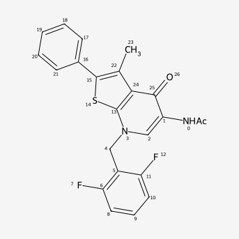 CC(=O)Nc1cn(Cc2c(F)cccc2F)c2sc(-c3ccccc3)c(C)c2c1=O